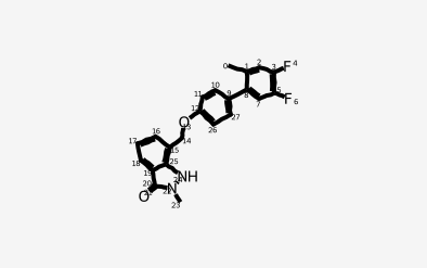 Cc1cc(F)c(F)cc1-c1ccc(OCc2cccc3c(=O)n(C)[nH]c23)cc1